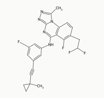 Cc1nnc2nc(Nc3cc(F)cc(C#CC4(C)CC4)c3)c3c(F)c(CC(F)F)ccc3n12